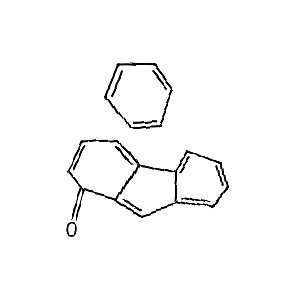 O=C1C=CC=C2C1=Cc1ccccc12.c1ccccc1